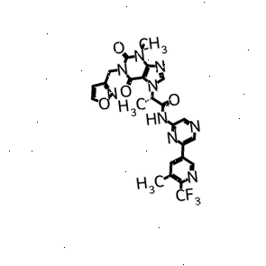 Cc1cc(-c2cncc(NC(=O)[C@H](C)n3cnc4c3c(=O)n(Cc3ccon3)c(=O)n4C)n2)cnc1C(F)(F)F